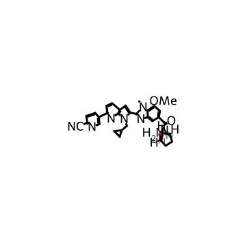 COc1cc(C(=O)N2C[C@H]3CC[C@@H]2[C@@H]3N)cc2nc(-c3cc4ccc(-c5ccc(C#N)nc5)nc4n3CC3CC3)n(C)c12